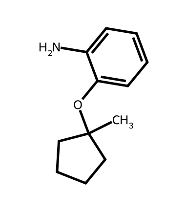 CC1(Oc2ccccc2N)CCCC1